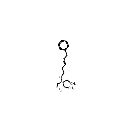 CC[Si](CC)(CC)OCCC=NCc1ccccc1